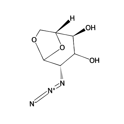 [N-]=[N+]=N[C@@H]1C2OC[C@@H](O2)[C@@H](O)C1O